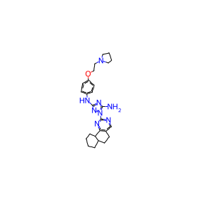 Nc1nc(Nc2ccc(OCCN3CCCC3)cc2)nn1-c1ncc2c(n1)C1CCCCC1CC2